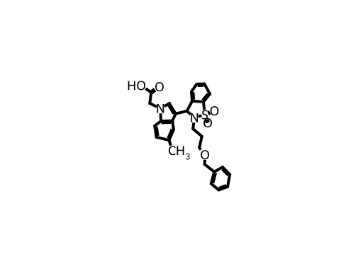 Cc1ccc2c(c1)c(C1c3ccccc3S(=O)(=O)N1CCCOCc1ccccc1)cn2CC(=O)O